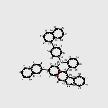 c1cc(-c2ccc3ccccc3c2)cc(N(c2ccc(-c3cccc4ccccc34)cc2)c2ccccc2-c2cccc3oc4ccccc4c23)c1